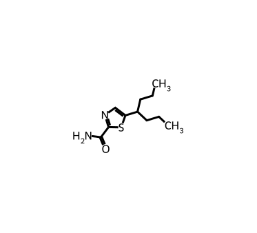 CCCC(CCC)c1cnc(C(N)=O)s1